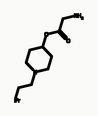 CC(C)CCN1CCC(OC(=O)CN)CC1